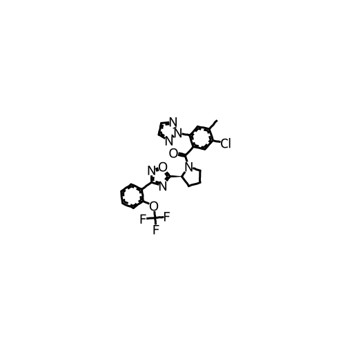 Cc1cc(-n2nccn2)c(C(=O)N2CCC[C@H]2c2nc(-c3ccccc3OC(F)(F)F)no2)cc1Cl